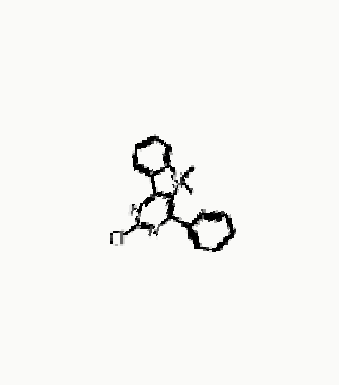 C[Si]1(C)c2ccccc2-c2nc(Cl)nc(-c3ccccc3)c21